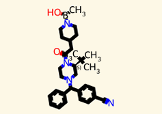 CB(O)N1CCC(CC(=O)N2CCN(C(c3ccccc3)c3ccc(C#N)cc3)C[C@@H]2C(C)(C)C)CC1